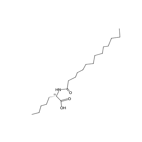 CCCCCCCCCCCCCC(=O)N[C@@H](CCCCC)C(=O)O